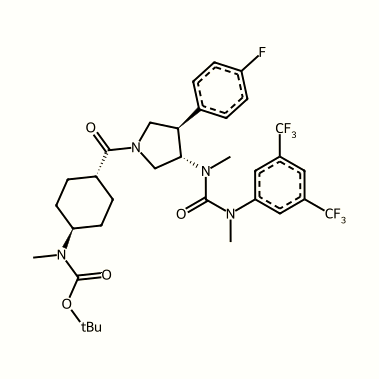 CN(C(=O)N(C)[C@@H]1CN(C(=O)[C@H]2CC[C@H](N(C)C(=O)OC(C)(C)C)CC2)C[C@H]1c1ccc(F)cc1)c1cc(C(F)(F)F)cc(C(F)(F)F)c1